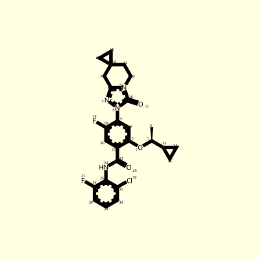 C[C@H](Oc1cc(-n2nc3n(c2=O)CCC2(CC2)C3)c(F)cc1C(=O)Nc1c(F)cccc1Cl)C1CC1